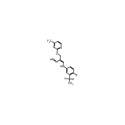 CC(F)(F)c1cc(N/C=C(/COc2nccc(C(F)(F)F)n2)N=N)ccc1F